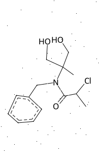 CC(Cl)C(=O)N(Cc1ccccc1)C(C)(CO)CO